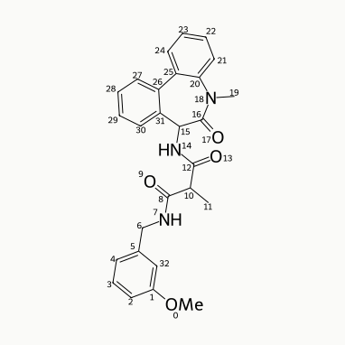 COc1cccc(CNC(=O)C(C)C(=O)NC2C(=O)N(C)c3ccccc3-c3ccccc32)c1